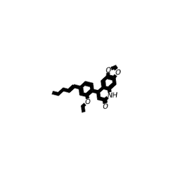 CCC/C=C/c1ccc(C2CC(=O)Nc3cc4c(cc32)OCO4)c(OCC)c1